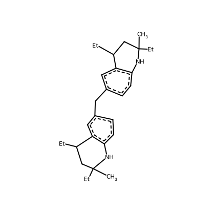 CCC1CC(C)(CC)Nc2ccc(Cc3ccc4c(c3)C(CC)CC(C)(CC)N4)cc21